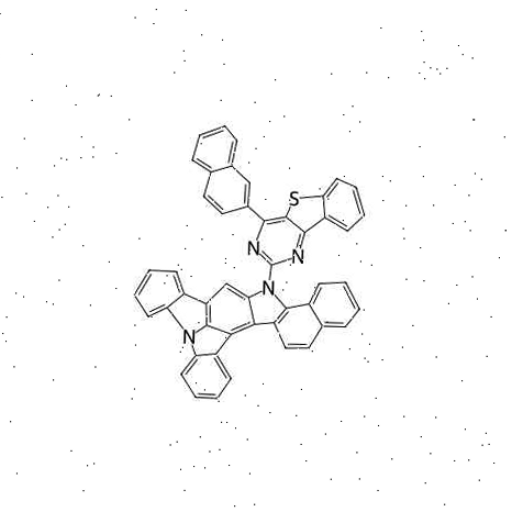 c1ccc2cc(-c3nc(-n4c5cc6c7ccccc7n7c8ccccc8c(c5c5ccc8ccccc8c54)c67)nc4c3sc3ccccc34)ccc2c1